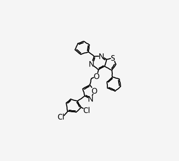 Clc1ccc(-c2cc(COc3nc(-c4ccccc4)nc4scc(-c5ccccc5)c34)on2)c(Cl)c1